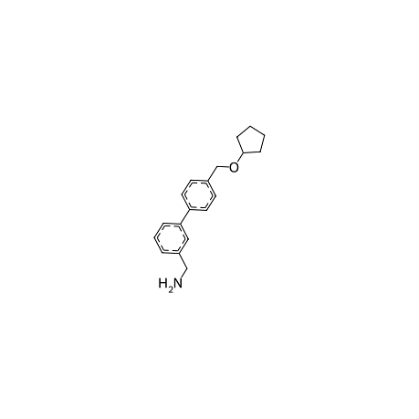 NCc1cccc(-c2ccc(COC3CCCC3)cc2)c1